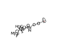 CC1(C)C(=O)N(c2ccc(C#N)c(C(F)(F)F)c2)C(=S)N1CCCC(=O)NCCOCCOCCC12CC3CC(CC(C3)C1)C2